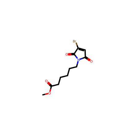 COC(=O)CCCCCN1C(=O)C=C(Br)C1=O